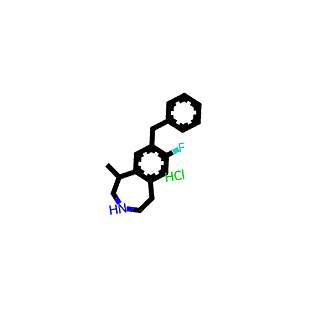 CC1CNCCc2cc(F)c(Cc3ccccc3)cc21.Cl